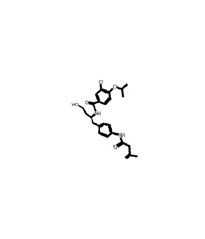 C=C(C)CC(=O)Nc1ccc(C[C@@H](CCO)NC(=O)c2ccc(OC(C)C)c(Cl)c2)cc1